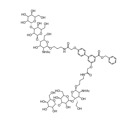 CC(=O)NC1C(O)[C@H](O[C@@H]2OC(CO)[C@H](O)C(O[C@H]3OC(CO)[C@H](O)C(O)C3O)C2O)C(CO)O[C@H]1OCCCNC(=O)COc1ccc(-c2cc(OCC(=O)NCCCO[C@@H]3OC[C@](CCO)(O[C@@H]4OC(CO)[C@H](O)C(O[C@H]5OC(CO)[C@H](O)C(O)C5O)C4O)C(O)C3NC(C)=O)cc(C(=O)OCc3ccccc3)c2)cc1